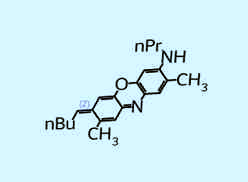 CCCC/C=c1/cc2c(cc1C)=Nc1cc(C)c(NCCC)cc1O2